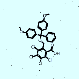 COc1ccc(C(OCc2c(Cl)c(Cl)c(Cl)c(Cl)c2C(=O)O)(c2ccccc2)c2ccc(OC)cc2)cc1